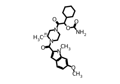 COc1ccc2cc(C(=O)N3CCN(C(=O)C(OC(N)=O)C4CCCCC4)C[C@H]3C)n(C)c2c1